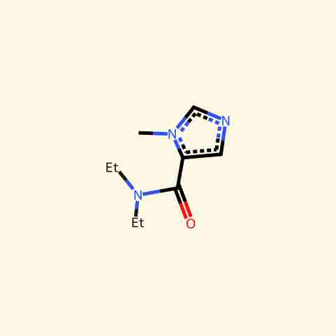 CCN(CC)C(=O)c1cncn1C